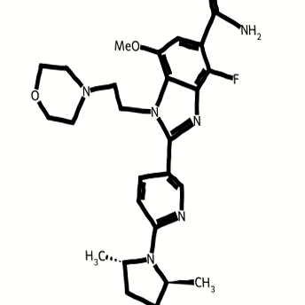 COc1cc(C(N)=O)c(F)c2nc(-c3ccc(N4[C@@H](C)CC[C@@H]4C)nc3)n(CCN3CCOCC3)c12